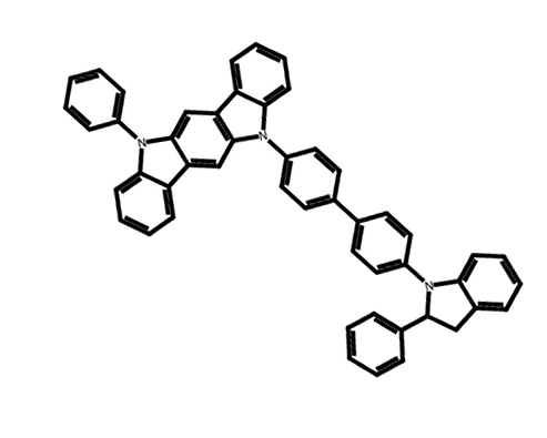 c1ccc(C2Cc3ccccc3N2c2ccc(-c3ccc(-n4c5ccccc5c5cc6c(cc54)c4ccccc4n6-c4ccccc4)cc3)cc2)cc1